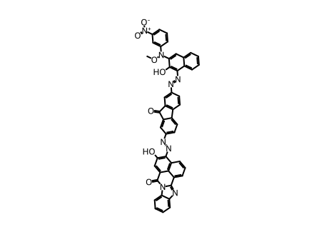 CON(c1cccc([N+](=O)[O-])c1)c1cc2ccccc2c(N=Nc2ccc3c(c2)C(=O)c2cc(N=Nc4c(O)cc5c(=O)n6c7ccccc7nc6c6cccc4c56)ccc2-3)c1O